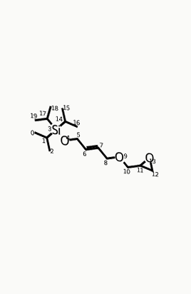 CC(C)[Si](OCC=CCOCC1CO1)(C(C)C)C(C)C